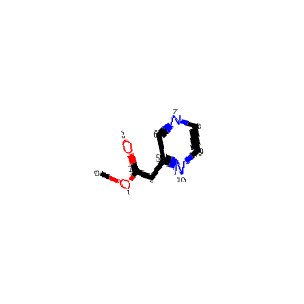 COC(=O)Cc1cnccn1